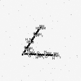 CCN(CCCNC(=O)[C@@H](N)CCCCNC(=O)[C@@H](N)CCCCNC(=O)[C@@H](N)CCCCNC(=N)N)CCCNC(=O)[C@@H](N)CCCCNC(=O)[C@@H](N)CCCCNC(=O)[C@@H](N)CCCCNC(=N)N